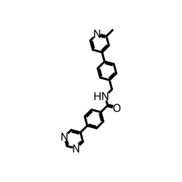 Cc1cc(-c2ccc(CNC(=O)c3ccc(-c4cncnc4)cc3)cc2)ccn1